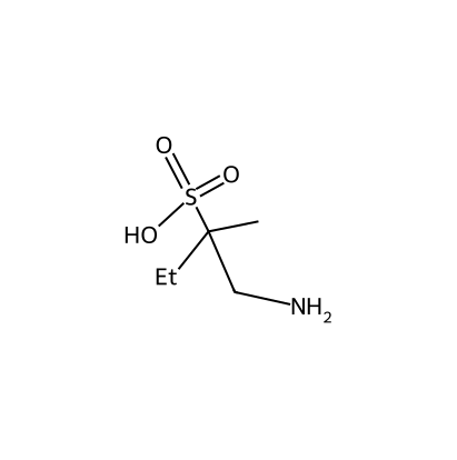 CCC(C)(CN)S(=O)(=O)O